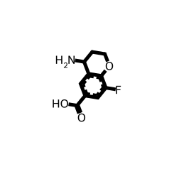 NC1CCOc2c(F)cc(C(=O)O)cc21